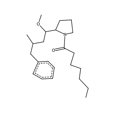 CCCCCCC(=O)N1CCCC1C(CC(C)Cc1ccccc1)OC